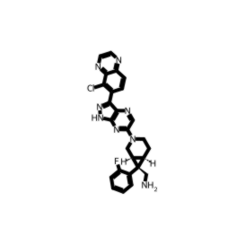 NC[C@]1(c2ccccc2F)[C@@H]2CCN(c3cnc4c(-c5ccc6nccnc6c5Cl)n[nH]c4n3)C[C@@H]21